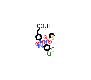 O=C(O)CCc1ccc(S(=O)(=O)Nc2cc(Cl)c(Cl)cc2NS(=O)(=O)c2cccs2)cc1